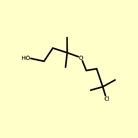 CC(C)(Cl)CCOC(C)(C)CCO